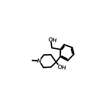 CN1CCC(O)(c2ccccc2CO)CC1